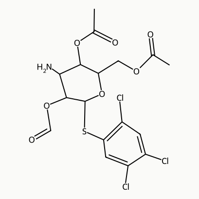 CC(=O)OCC1OC(Sc2cc(Cl)c(Cl)cc2Cl)C(OC=O)C(N)C1OC(C)=O